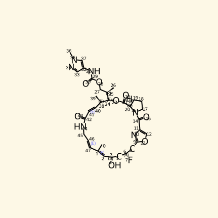 CC1=C\[C@@H](O)C[C@@H](F)Cc2nc(co2)C(=O)N2CCC[C@@H]2C(=O)O[C@H]([C@H](C)COC(=O)Nc2cnn(C)c2)[C@H](C)/C=C/C(=O)NC\C=C\1